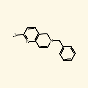 Clc1ccc2c(n1)C=CN(Cc1ccccc1)C2